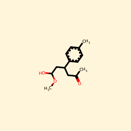 COC(O)CC(CC(C)=O)c1ccc(C)cc1